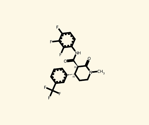 CN1CC[C@H](c2cccc(C(F)(F)F)c2)[C@@H](C(=O)Nc2ccc(F)c(F)c2F)C1=O